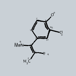 CN/C(=C(\C)F)c1ccc(Cl)c(Cl)c1